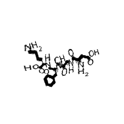 CN(C(=O)CNC(=O)[C@H](N)CC(=O)O)[C@@H](Cc1ccccc1)C(=O)N[C@@H](CCCCN)C(=O)O